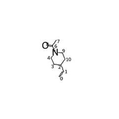 C=CC1CCN(C(C)=O)CC1